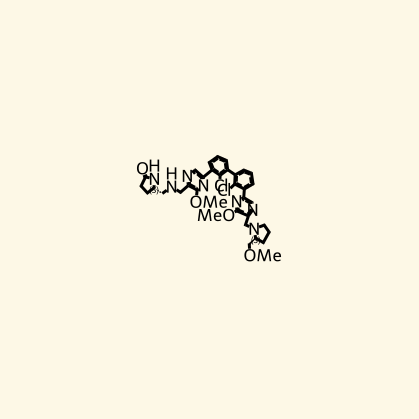 COC[C@@H]1CCCN1Cc1ncc(-c2cccc(-c3cccc(-c4cnc(CNC[C@@H]5CCC(=O)N5)c(OC)n4)c3Cl)c2Cl)nc1OC